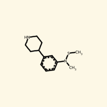 CSN(C)c1cccc(C2CCNCC2)c1